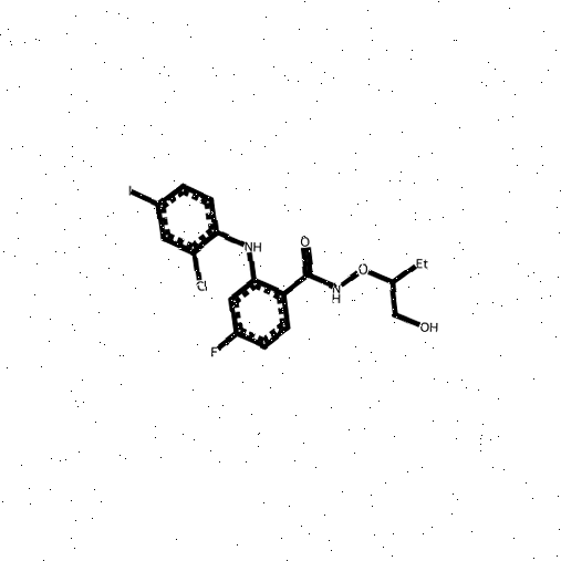 CCC(CO)ONC(=O)c1ccc(F)cc1Nc1ccc(I)cc1Cl